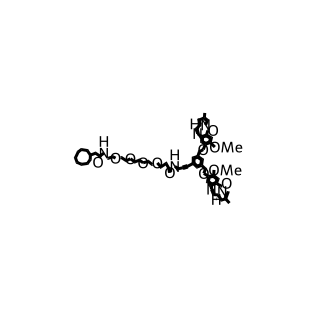 COc1cc2c(cc1OCc1cc(C#CCNC(=O)CCOCCOCCOCCOCCNC(=O)CC3CCCCCCCC3)cc(COc3cc4c(cc3OC)C(=O)N3C=C(C)C[C@H]3C=N4)c1)N=C[C@@H]1CC(C)=CN1C2=O